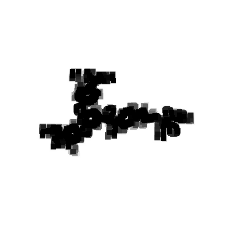 CC(C)(C)OC(=O)NCCCN1CCC(NC(=O)c2cc(Oc3ccc(C(=N)N)cc3)nc(Oc3ccc(C(=N)N)cc3)c2)CC1